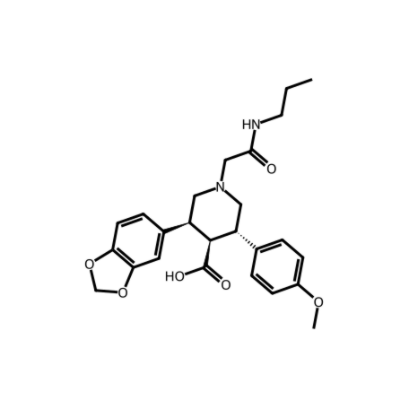 CCCNC(=O)CN1C[C@H](c2ccc(OC)cc2)[C@@H](C(=O)O)[C@@H](c2ccc3c(c2)OCO3)C1